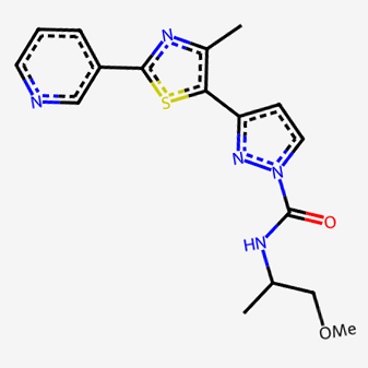 COCC(C)NC(=O)n1ccc(-c2sc(-c3cccnc3)nc2C)n1